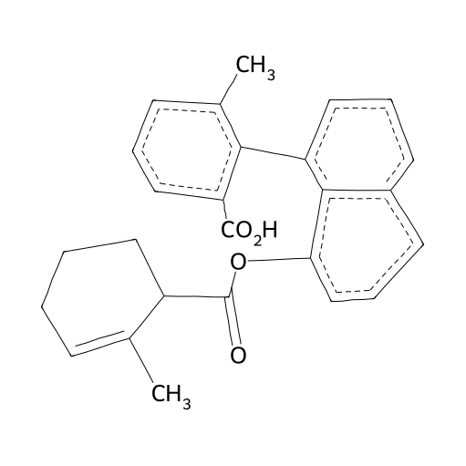 CC1=CCCCC1C(=O)Oc1cccc2cccc(-c3c(C)cccc3C(=O)O)c12